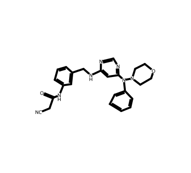 N#CCC(=O)Nc1cccc(CNc2cc(N(c3ccccc3)N3CCOCC3)ncn2)c1